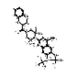 [2H]C([2H])([2H])Oc1cc2nc(N3C([2H])([2H])CN(C(=O)C4COc5ccccc5O4)CC3([2H])[2H])nc(N)c2cc1OC([2H])([2H])[2H]